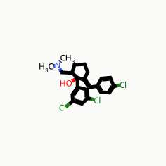 CN(C)CC1CCCC(=Cc2ccc(Cl)cc2)C1(O)c1cc(Cl)cc(Cl)c1